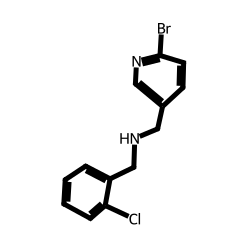 Clc1ccccc1CNCc1ccc(Br)nc1